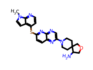 Cn1ccc2c(Sc3ccc4nc(N5CCC6(CC5)COCC6N)cnc4n3)ccnc21